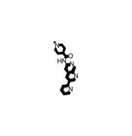 CN1CCC(C(=O)Nc2cc3cc(-c4ccccn4)cnc3cn2)CC1